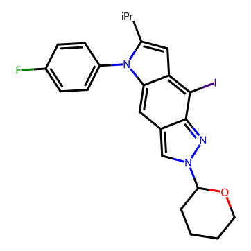 CC(C)c1cc2c(I)c3nn(C4CCCCO4)cc3cc2n1-c1ccc(F)cc1